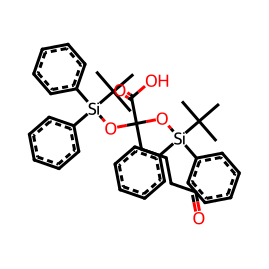 CC(C)(C)[Si](OC(CCCC=O)(O[Si](c1ccccc1)(c1ccccc1)C(C)(C)C)C(=O)O)(c1ccccc1)c1ccccc1